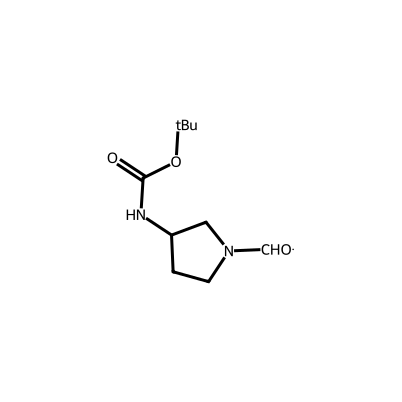 CC(C)(C)OC(=O)NC1CCN([C]=O)C1